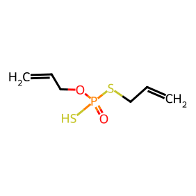 C=CCOP(=O)(S)SCC=C